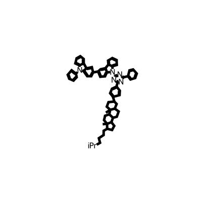 CC(C)CCCCC1CCC2C3CCC4CC(c5ccc(-c6nc(-c7ccccc7)nc(-n7c8ccccc8c8cc(-c9ccc%10c(c9)c9ccccc9n%10-c9ccccc9)ccc87)n6)cc5)CCC4(C)C3CCC12C